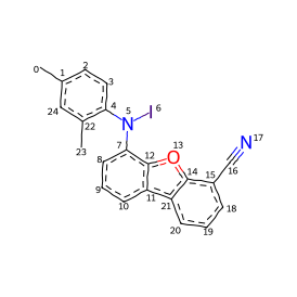 Cc1ccc(N(I)c2cccc3c2oc2c(C#N)cccc23)c(C)c1